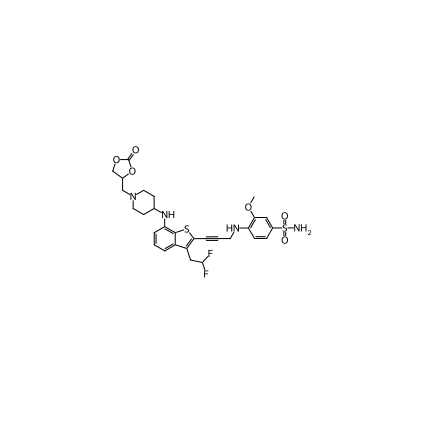 COc1cc(S(N)(=O)=O)ccc1NCC#Cc1sc2c(NC3CCN(CC4COC(=O)O4)CC3)cccc2c1CC(F)F